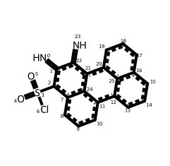 N=c1c(S(=O)(=O)Cl)c2cccc3c4cccc5cccc(c(c1=N)c23)c54